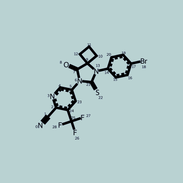 N#Cc1ncc(N2C(=O)C3(CCC3)N(c3ccc(Br)cc3)C2=S)cc1C(F)(F)F